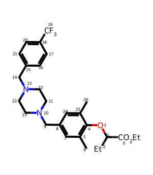 CCOC(=O)C(CC)Oc1c(C)cc(CN2CCN(Cc3ccc(C(F)(F)F)cc3)CC2)cc1C